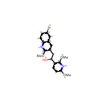 COc1ccc(C(O)Cc2cc3cc(Br)ccc3nc2OC)c(OC)n1